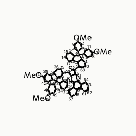 COc1ccc(C2(c3ccc(OC)cc3)c3ccccc3-c3c(-c4sc(-c5cccc6c5-c5ccccc5C6(c5ccc(OC)cc5)c5ccc(OC)cc5)c5nc6c7ccccc7c7ccccc7c6nc45)cccc32)cc1